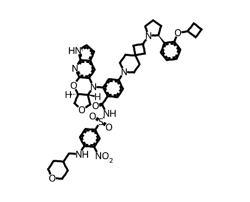 O=C(NS(=O)(=O)c1ccc(NCC2CCOCC2)c([N+](=O)[O-])c1)c1ccc(N2CCC3(CC2)CC(N2CCC[C@H]2c2ccccc2OC2CCC2)C3)cc1N1c2cc3cc[nH]c3nc2O[C@@H]2COC[C@H]21